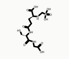 O=C(O)CNC(=O)[C@H](CS)NC(=O)CC[C@H](NCP(=O)(O)O)C(=O)O